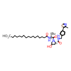 Cc1ncsc1-c1ccc(CNC(=O)[C@@H]2C[C@@H](O)CN2C(=O)[C@@H](NC(=O)CCCCCCCCCCCCCCCC(=O)O)C(C)(C)C)cc1